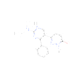 CC(C)n1nc(-c2cnc(N(C(=O)O)C(=O)O)nc2-c2ccccc2)ccc1=O